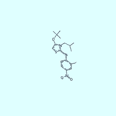 Cc1cc([N+](=O)[O-])ccc1N=c1scc(OC(C)(C)C)n1CC(C)C